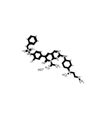 COCCN(C)C1CCC(Nc2ncc3cc(-c4ccc(NS(=O)(=O)Cc5ccccc5)c(F)c4)c(=O)n(C(C)C)c3n2)CC1.Cl